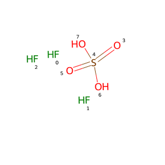 F.F.F.O=S(=O)(O)O